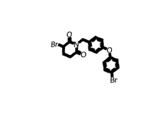 O=C1CCC(Br)C(=O)N1Cc1ccc(Oc2ccc(Br)cc2)cc1